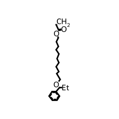 C=CC(=O)OCCCCCCCCCCCOC(CC)c1ccccc1